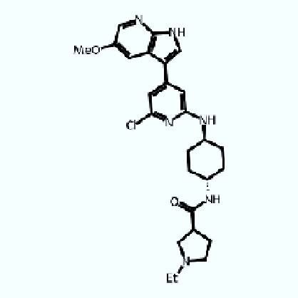 CCN1CCC(C(=O)N[C@H]2CC[C@H](Nc3cc(-c4c[nH]c5ncc(OC)cc45)cc(Cl)n3)CC2)C1